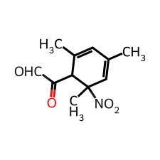 CC1=CC(C)([N+](=O)[O-])C(C(=O)C=O)C(C)=C1